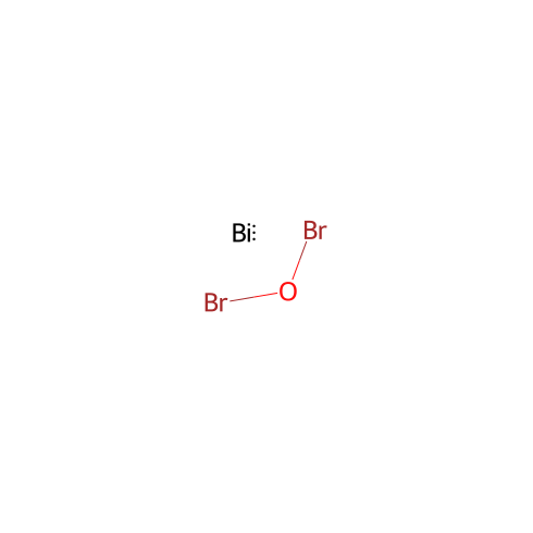 BrOBr.[Bi]